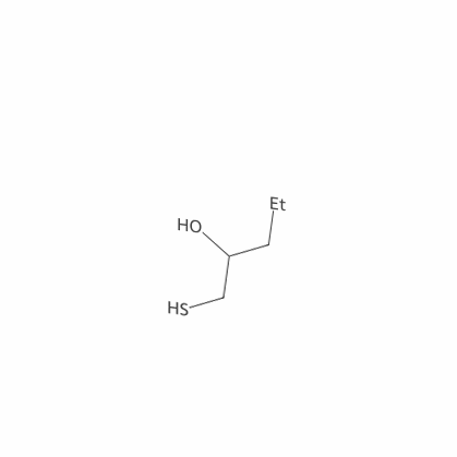 CCCC(O)CS